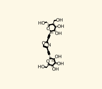 OC[C@H]1[C@H](O)[C@H](O)[C@@H](C#Cc2nc(C#C[C@H]3O[C@H](CO)[C@@H](O)[C@H](O)[C@@H]3O)co2)O[C@@H]1CO